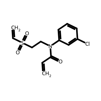 C=CC(=O)N(CCS(=O)(=O)C=C)c1cccc(Cl)c1